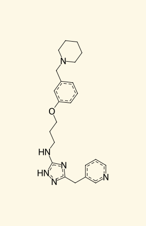 c1cncc(Cc2n[nH]c(NCCCOc3cccc(CN4CCCCC4)c3)n2)c1